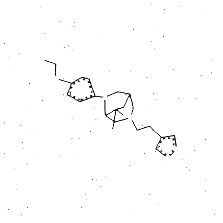 CCOc1ccc(N2C[C@H]3CN(CCc4cn[nH]c4)C[C@@H]2C(C)(C)C3)cc1